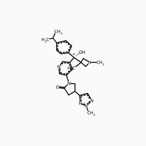 CC(C)c1ccc([C@](O)(c2cncc(N3CC(c4cnn(C)n4)CC3=O)c2)C2(C)CN(C)C2)cc1